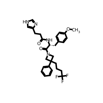 COc1ccc(C[C@@H](NC(=O)CCc2c[nH]cn2)C(=O)N2CC(CCCC(F)(F)F)(c3ccccc3)C2)cc1